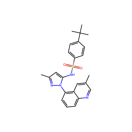 Cc1cnc2cccc(-n3nc(C)cc3NS(=O)(=O)c3ccc(C(C)(C)C)cc3)c2c1